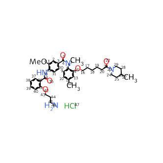 COc1cc(C(=O)N(C)c2ccc(C)cc2OCCCCCC(=O)N2CCC(C)CC2)ccc1NC(=O)c1ccccc1OCCCN.Cl